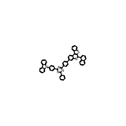 c1ccc(-c2nc(-c3ccc(-c4ccc5c(c4)nc(-c4cccc6ccccc46)c4sc6ccccc6c45)cc3)nc(-c3ccc(-n4c5ccccc5c5ccccc54)cc3)n2)cc1